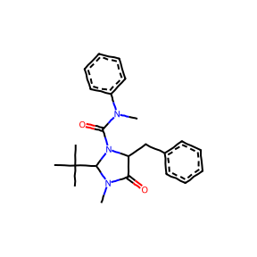 CN(C(=O)N1C(Cc2ccccc2)C(=O)N(C)C1C(C)(C)C)c1ccccc1